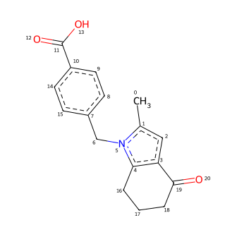 Cc1cc2c(n1Cc1ccc(C(=O)O)cc1)CCCC2=O